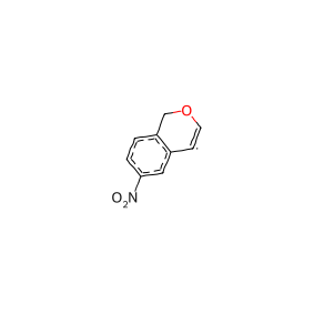 O=[N+]([O-])c1ccc2c(c1)[C]=COC2